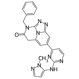 Cn1nccc1Nc1nccc(-c2cc3n4c(nnc4c2)N(Cc2ccccc2)C(=O)C3)n1